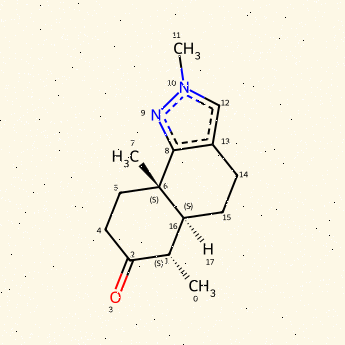 C[C@@H]1C(=O)CC[C@]2(C)c3nn(C)cc3CC[C@@H]12